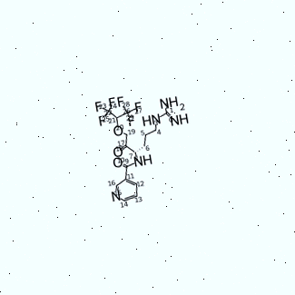 N=C(N)NCCC[C@H](NC(=O)c1cccnc1)C(=O)COC(C(F)(F)F)C(F)(F)F